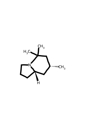 C[C@@H]1C[C@@H]2CCCN2C(C)(C)C1